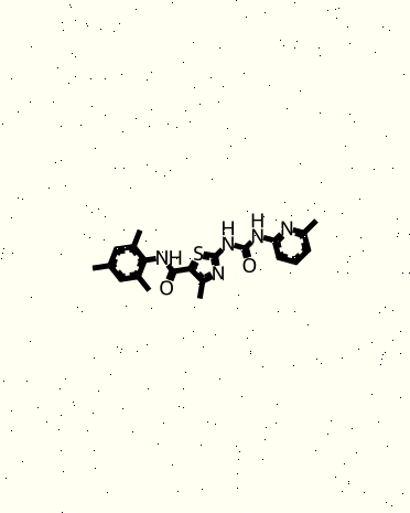 Cc1cc(C)c(NC(=O)c2sc(NC(=O)Nc3cccc(C)n3)nc2C)c(C)c1